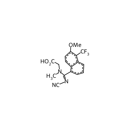 COc1ccc2c(C(=NC#N)N(C)CC(=O)O)cccc2c1C(F)(F)F